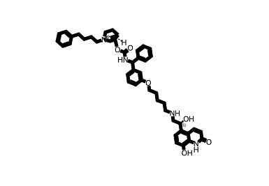 O=C(NC(c1ccccc1)c1cccc(OCCCCCNC[C@@H](O)c2ccc(O)c3[nH]c(=O)ccc23)c1)O[C@H]1C[N+]2(CCCCc3ccccc3)CCC1CC2